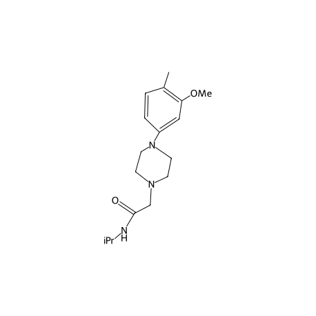 COc1cc(N2CCN(CC(=O)NC(C)C)CC2)ccc1C